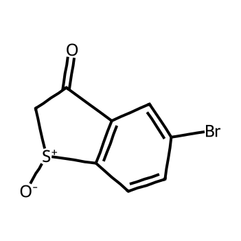 O=C1C[S+]([O-])c2ccc(Br)cc21